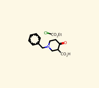 CCOC(=O)Cl.O=C(O)C1CN(Cc2ccccc2)CCC1=O